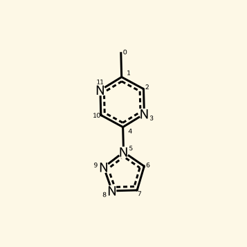 Cc1cnc(-n2ccnn2)cn1